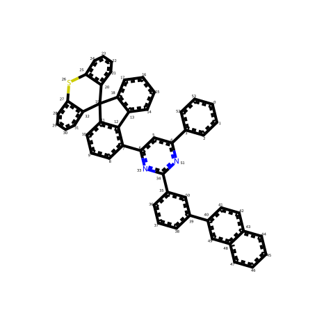 c1ccc(-c2cc(-c3cccc4c3-c3ccccc3C43c4ccccc4Sc4ccccc43)nc(-c3cccc(-c4ccc5ccccc5c4)c3)n2)cc1